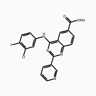 COC(=O)c1ccc2nc(-c3cccnc3)nc(Nc3ccc(F)c(Cl)c3)c2c1